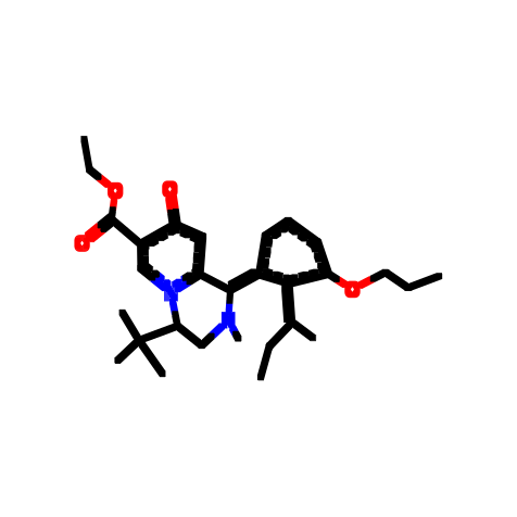 CCCOc1cccc(=C2\c3cc(=O)c(C(=O)OCC)cn3C(C(C)(C)C)CN2C)/c1=C(/C)CC